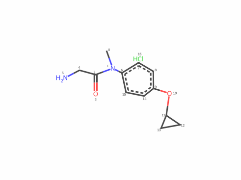 CN(C(=O)CN)c1ccc(OC2CC2)cc1.Cl